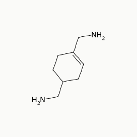 NCC1=CCC(CN)CC1